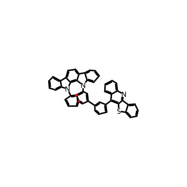 c1ccc(-n2c3ccccc3c3ccc4c5ccccc5n(-c5cccc(-c6cccc(-c7c8ccccc8nc8c7sc7ccccc78)c6)c5)c4c32)cc1